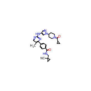 Cc1cnc(Nc2cnn(C3CCN(C(=O)C4CC4)CC3)c2)nc1-c1ccc(C(=O)NCC2(C#N)CC2)cc1